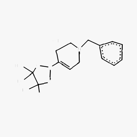 CC1(C)OB(C2=CCN(Cc3ccccc3)CC2)OC1(C)C.Cl